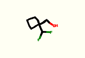 OCC1(C(F)F)CCC1